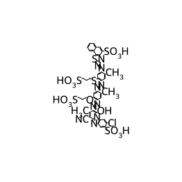 Cc1cc(N=Nc2cc(OCCCS(=O)(=O)O)c(N=Nc3c(C)c(C#N)c4nc5cc(S(=O)(=O)O)c(Cl)cc5n4c3O)cc2C)c(SCCCS(=O)(=O)O)cc1N=Nc1nc2c(S(=O)(=O)O)cc3ccccc3c2s1